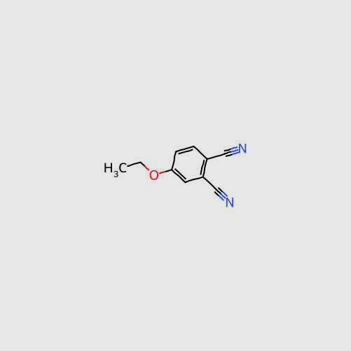 CCOc1ccc(C#N)c(C#N)c1